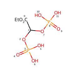 CCOC(=O)C(OP(=O)(O)O)OP(=O)(O)O